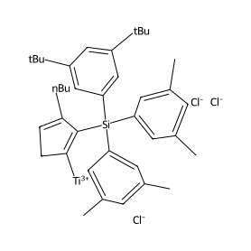 CCCCC1=CC[C]([Ti+3])=C1[Si](c1cc(C)cc(C)c1)(c1cc(C)cc(C)c1)c1cc(C(C)(C)C)cc(C(C)(C)C)c1.[Cl-].[Cl-].[Cl-]